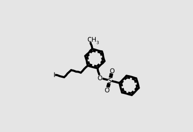 Cc1ccc(OS(=O)(=O)c2ccccc2)c(CCCI)c1